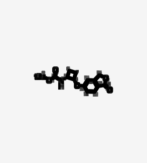 CC(C)(C)OC(=O)N[C@@H]1CC[C@H]1Oc1ccc2c(c1)COC2=O